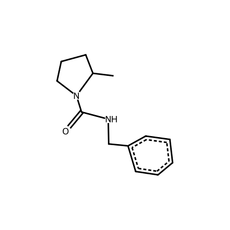 CC1CCCN1C(=O)NCc1ccccc1